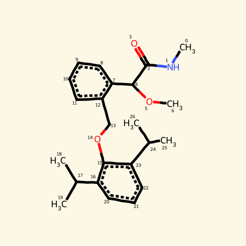 CNC(=O)C(OC)c1ccccc1COc1c(C(C)C)cccc1C(C)C